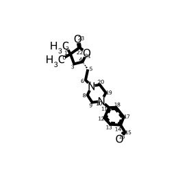 CC1(C)C[C@@H](CCN2CCN(c3ccc(C=O)cc3)CC2)OC1=O